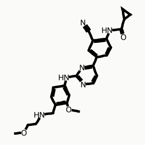 COCCNCc1ccc(Nc2nccc(-c3ccc(NC(=O)C4CC4)c(C#N)c3)n2)cc1OC